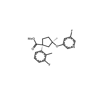 COC(=O)[C@@]1(c2cccc(F)c2C)CC[C@@](C)(Oc2cncc(F)c2)C1